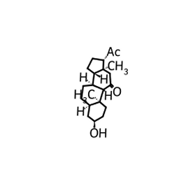 CC(=O)[C@H]1CC[C@H]2[C@@H]3CC[C@@H]4C[C@H](O)CC[C@]4(C)[C@@H]3C(=O)C[C@]12C